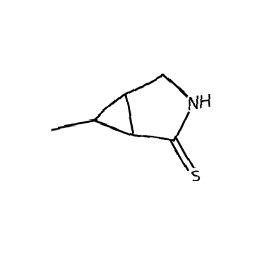 CC1C2CNC(=S)C12